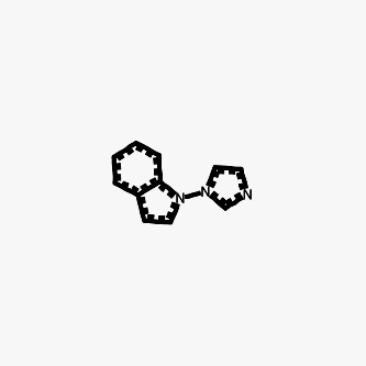 c1ccc2c(c1)ccn2-n1ccnc1